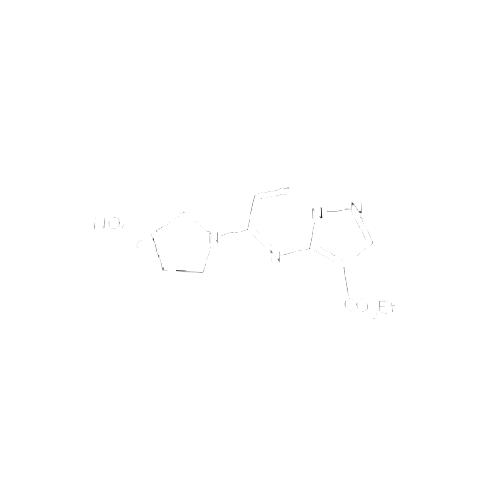 CCOC(=O)c1cnn2ccc(N3CC[C@H](O)C3)nc12